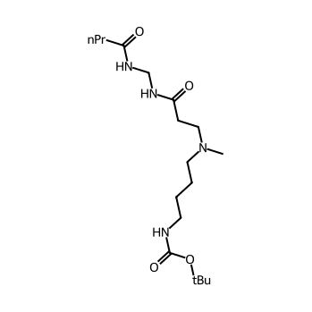 CCCC(=O)NCNC(=O)CCN(C)CCCCNC(=O)OC(C)(C)C